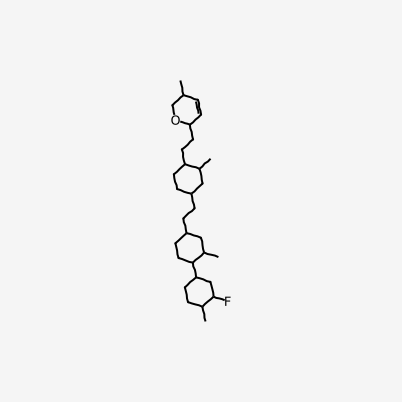 CC1C=CC(CCC2CCC(CCC3CCC(C4CCC(C)C(F)C4)C(C)C3)CC2C)OC1